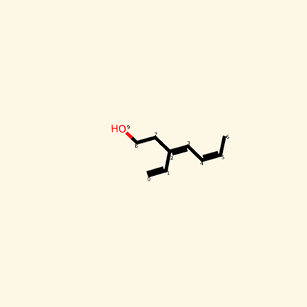 C=C/C(=C\C=C/C)CCO